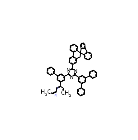 C=C/C(=C\C=C/C)c1cc(-c2ccccc2)cc(-c2nc(-c3cc(-c4ccccc4)cc(-c4ccccc4)c3)nc(-c3ccc4c(c3)CC3(c5ccccc5-4)c4ccccc4-c4ccccc43)n2)c1